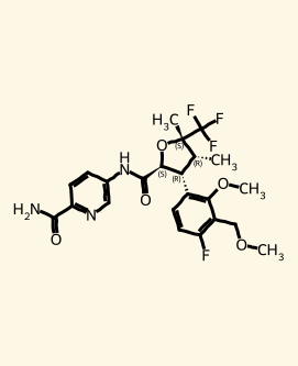 COCc1c(F)ccc([C@@H]2[C@@H](C(=O)Nc3ccc(C(N)=O)nc3)O[C@](C)(C(F)(F)F)[C@@H]2C)c1OC